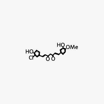 COc1ccc(C=CC(=O)CC(=O)C=Cc2ccc(O)c(Cl)c2)cc1O